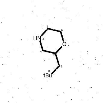 CC(C)(C)CC1CNCCO1